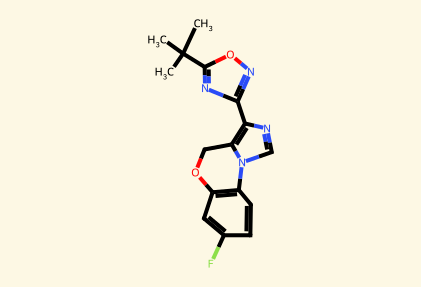 CC(C)(C)c1nc(-c2ncn3c2COc2cc(F)ccc2-3)no1